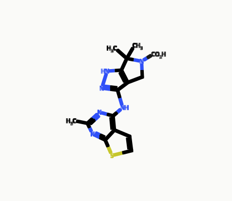 Cc1nc(Nc2n[nH]c3c2CN(C(=O)O)C3(C)C)c2ccsc2n1